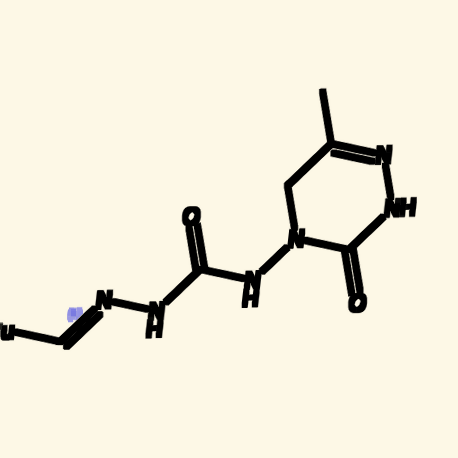 CC1=NNC(=O)N(NC(=O)N/N=C/C(C)(C)C)C1